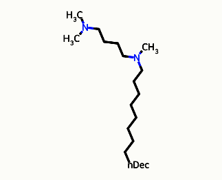 CCCCCCCCCCCCCCCCCCN(C)CCCCN(C)C